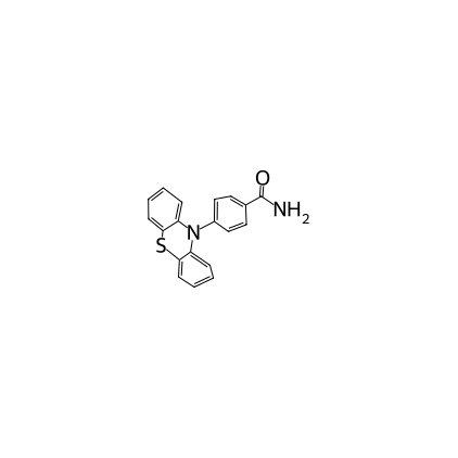 NC(=O)c1ccc(N2c3ccccc3Sc3ccccc32)cc1